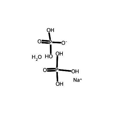 O.O=P(O)(O)O.O=P([O-])(O)O.[Na+]